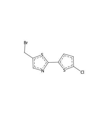 Clc1ccc(-c2ncc(CBr)s2)s1